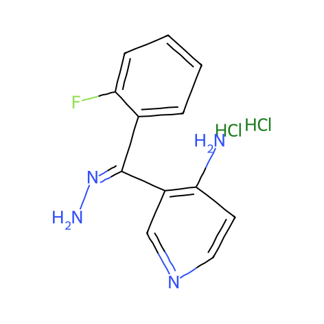 Cl.Cl.N/N=C(\c1cnccc1N)c1ccccc1F